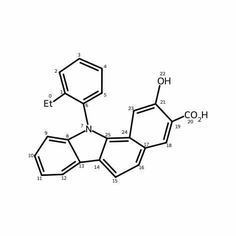 CCc1ccccc1-n1c2ccccc2c2ccc3cc(C(=O)O)c(O)cc3c21